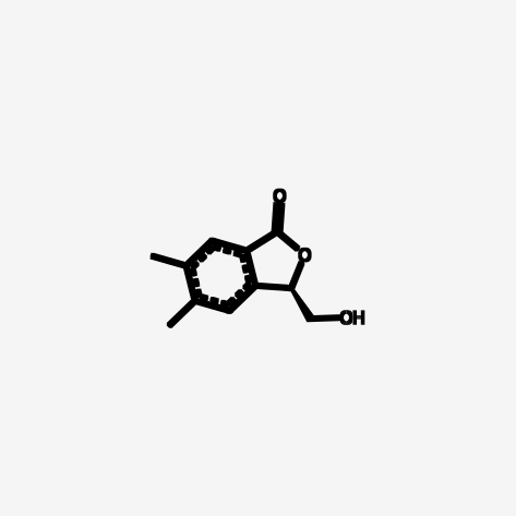 Cc1cc2c(cc1C)[C@H](CO)OC2=O